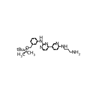 CC(C)(C)[Si](C)(C)OCc1cccc(Nc2nccc(-c3ccc(NCCCN)nc3)n2)c1